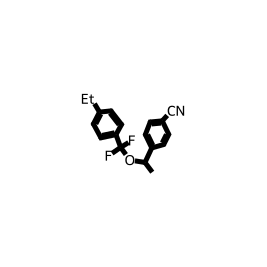 CCc1ccc(C(F)(F)OC(C)c2ccc(C#N)cc2)cc1